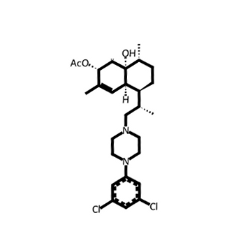 CC(=O)O[C@@H]1[C][C@@]2(O)[C@H](C)CC[C@@H]([C@H](C)CN3CCN(c4cc(Cl)cc(Cl)c4)CC3)[C@H]2C=C1C